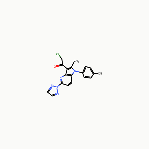 Cc1c(C(=O)CCl)c2nc(-n3nccn3)ccc2n1-c1ccc(C#N)cc1